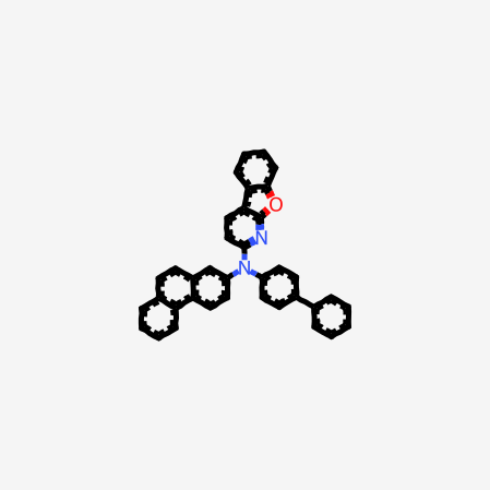 c1ccc(-c2ccc(N(c3ccc4c(ccc5ccccc54)c3)c3ccc4c(n3)oc3ccccc34)cc2)cc1